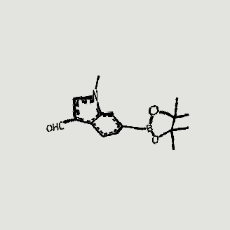 Cn1cc(C=O)c2ccc(B3OC(C)(C)C(C)(C)O3)cc21